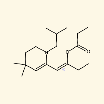 CCC(=O)O/C(=C\C1=CC(C)(C)CCN1CC(C)C)CC